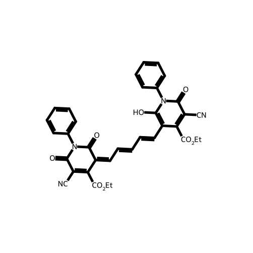 CCOC(=O)C1=C(C#N)C(=O)N(c2ccccc2)C(=O)/C1=C\C=CC=Cc1c(C(=O)OCC)c(C#N)c(=O)n(-c2ccccc2)c1O